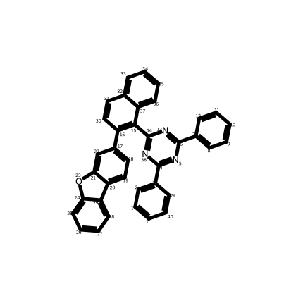 c1ccc(-c2nc(-c3ccccc3)nc(-c3c(-c4ccc5c(c4)oc4ccccc45)ccc4ccccc34)n2)cc1